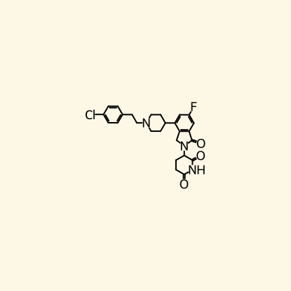 O=C1CCC(N2Cc3c(cc(F)cc3C3CCN(CCc4ccc(Cl)cc4)CC3)C2=O)C(=O)N1